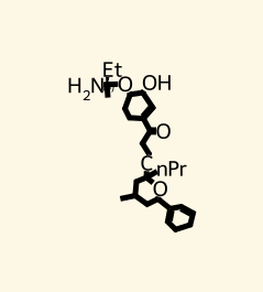 CCCC1(CCCC(=O)C2=CC(O)C(O[C@](C)(N)CC)CC2)CC(C)CC(C2=CCCC=C2)O1